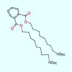 CCCCCCCCCCCCCCCCCCOC(=O)c1ccccc1C(=O)OCCCCCCCCCCCCCCCCCC